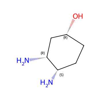 N[C@@H]1C[C@H](O)CC[C@@H]1N